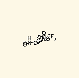 FC(F)(F)c1cccc(CN(CCc2cc3ccc(CCNCc4ccco4)cc3o2)CC(c2ccccc2)c2ccccc2)c1Cl